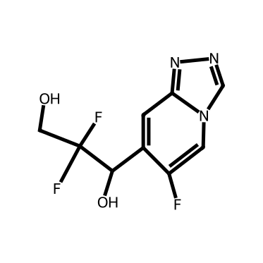 OCC(F)(F)C(O)c1cc2nncn2cc1F